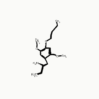 CCCCSc1cc(OC)c(CC(N)CC)cc1OC